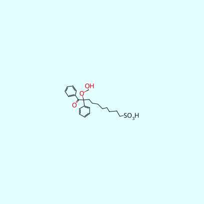 O=C(c1ccccc1)C(CCCCCCCCS(=O)(=O)O)(OCO)c1ccccc1